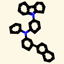 c1ccc(N(c2cccc(-c3ccc4ccccc4c3)c2)c2cccc(-n3c4ccccc4c4ccccc43)c2)cc1